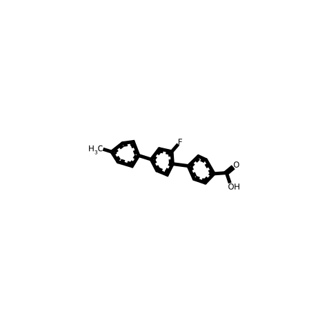 Cc1ccc(-c2ccc(-c3ccc(C(=O)O)cc3)c(F)c2)cc1